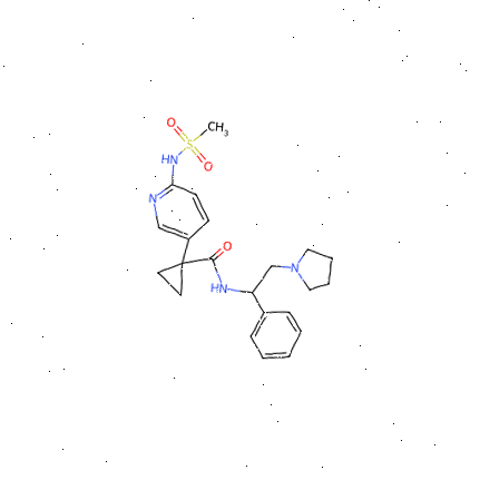 CS(=O)(=O)Nc1ccc(C2(C(=O)NC(CN3CCCC3)c3ccccc3)CC2)cn1